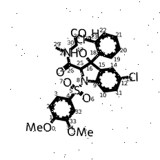 COc1ccc(S(=O)(=O)N2c3ccc(Cl)cc3C(O)(c3ccccc3Cl)C2C(=O)N(C)CC(=O)O)cc1OC